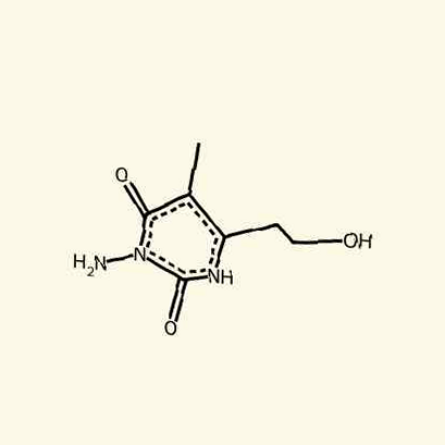 Cc1c(CCO)[nH]c(=O)n(N)c1=O